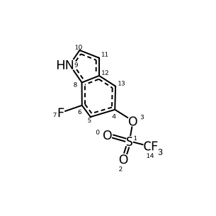 O=S(=O)(Oc1cc(F)c2[nH]ccc2c1)C(F)(F)F